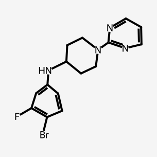 Fc1cc(NC2CCN(c3ncccn3)CC2)ccc1Br